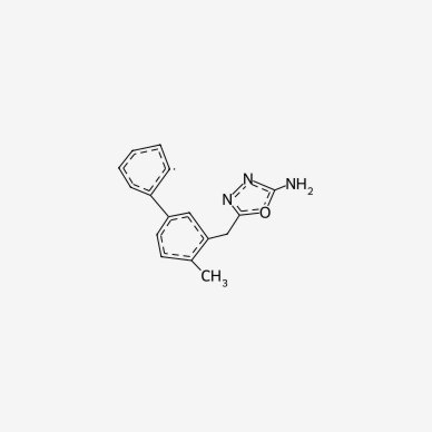 Cc1ccc(-c2[c]cccc2)cc1Cc1nnc(N)o1